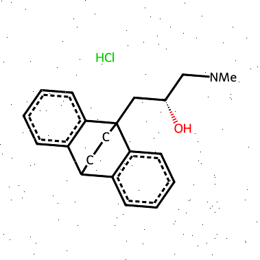 CNC[C@H](O)CC12CCC(c3ccccc31)c1ccccc12.Cl